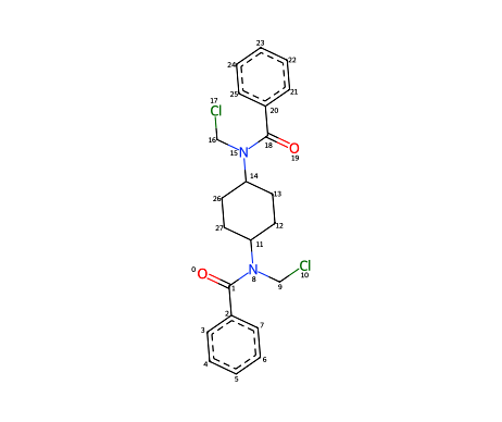 O=C(c1ccccc1)N(CCl)C1CCC(N(CCl)C(=O)c2ccccc2)CC1